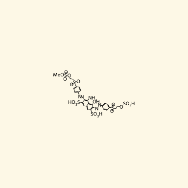 COS(=O)(=O)OCCS(=O)(=O)c1ccc(/N=N/c2c(S(=O)(=O)O)cc3cc(S(=O)(=O)O)c(/N=N/c4ccc(S(=O)(=O)CCOS(=O)(=O)O)cc4)c(O)c3c2N)cc1